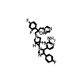 Nc1nccc(-c2c(-c3ccc(F)cc3)ncn2C2[C@H]3CN(C[C@](O)(Cn4cncn4)c4ccc(F)cc4F)C[C@@H]23)n1